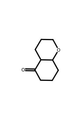 O=C1CCCC2OCCCC12